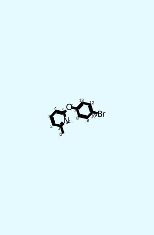 Cc1cccc(Oc2ccc(Br)cc2)n1